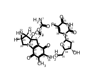 CO[C@@]12[C@H](COC(N)=O)C3=C(C(=O)C(C)=C(N)C3=O)N1C[C@@H]1N[C@@H]12.O=c1[nH]c(=O)n([C@H]2C[C@H](O)[C@@H](CO)O2)cc1F